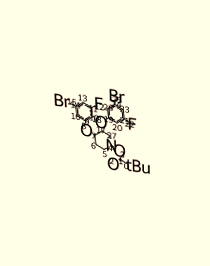 CC(C)(C)C(=O)ON1CCC(Oc2cc(F)cc(Br)c2)C(Oc2cc(F)cc(Br)c2)C1